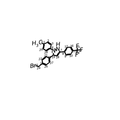 Cc1ccc(N2NC(c3ccc(C(F)(F)F)cc3)=CC2c2ccc(CBr)cc2)cc1